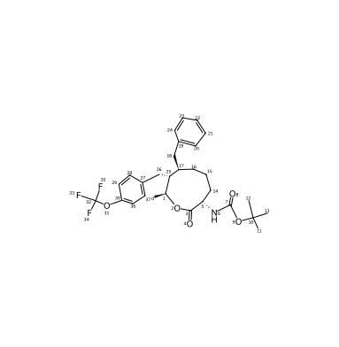 C[C@@H]1OC(=O)[C@@H](NC(=O)OC(C)(C)C)CCC[C@H](Cc2ccccc2)[C@H]1Cc1ccc(OC(F)(F)F)cc1